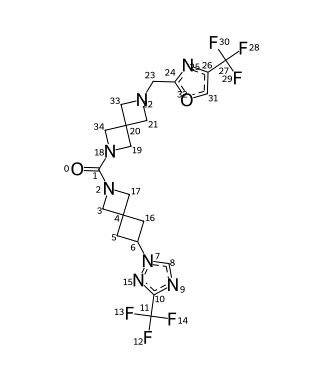 O=C(N1CC2(CC(n3cnc(C(F)(F)F)n3)C2)C1)N1CC2(CN(Cc3nc(C(F)(F)F)co3)C2)C1